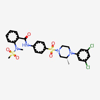 C[C@@H]1CN(S(=O)(=O)c2ccc(NC(=O)c3ccccc3N(C)S(C)(=O)=O)cc2)CCN1c1cc(Cl)cc(Cl)c1